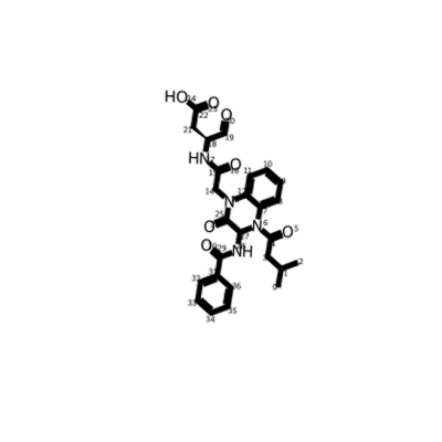 CC(C)CC(=O)N1c2ccccc2N(CC(=O)N[C@H](C=O)CC(=O)O)C(=O)C1NC(=O)c1ccccc1